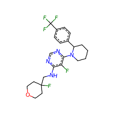 Fc1c(NCC2(F)CCOCC2)ncnc1N1CCCCC1c1ccc(C(F)(F)F)cc1